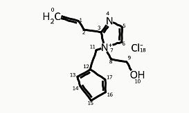 C=CCC1=NC=C[N+]1(CCO)Cc1ccccc1.[Cl-]